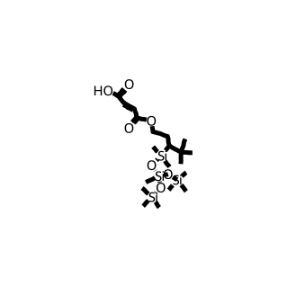 CC(C)(C)C(CCOC(=O)C=CC(=O)O)[Si](C)(C)O[Si](C)(O[Si](C)(C)C)O[Si](C)(C)C